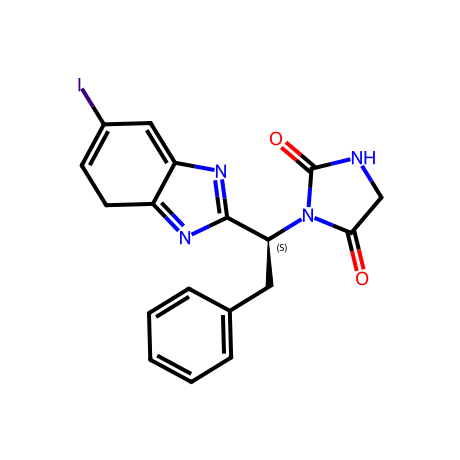 O=C1CNC(=O)N1[C@@H](Cc1ccccc1)C1=NC2=CC(I)=CCC2=N1